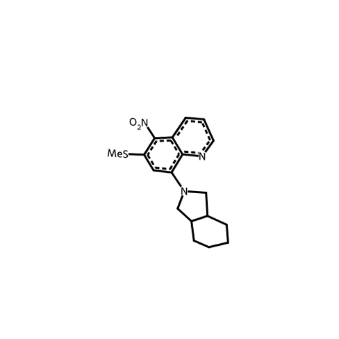 CSc1cc(N2CC3CCCCC3C2)c2ncccc2c1[N+](=O)[O-]